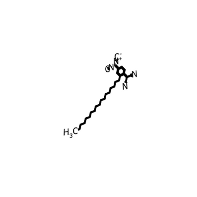 [C-]#[N+]C([N+]#[C-])=c1ccc(=C(C#N)C#N)c(CCCCCCCCCCCCCCCCCC)c1